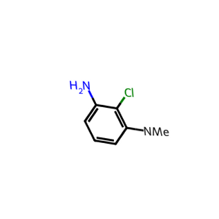 CNc1cccc(N)c1Cl